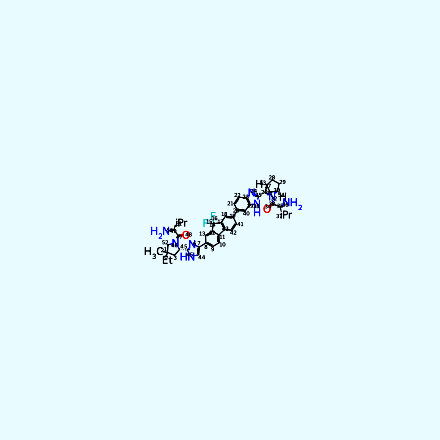 CCC1(C)C[C@@H](c2nc(-c3ccc4c(c3)C(F)(F)c3cc(-c5ccc6nc([C@@H]7[C@H]8CC[C@H](C8)N7C(=O)[C@@H](N)C(C)C)[nH]c6c5)ccc3-4)c[nH]2)N(C(=O)[C@@H](N)C(C)C)C1